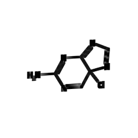 NC1=NC2=NC=NC2(Cl)C=N1